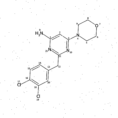 Nc1cc(N2CCOCC2)nc(Cc2ccc(Cl)c(Cl)c2)n1